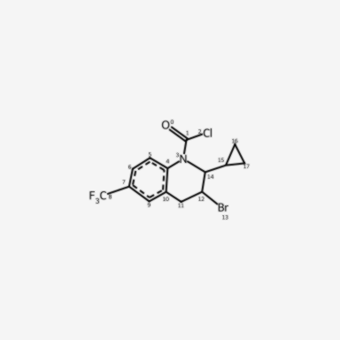 O=C(Cl)N1c2ccc(C(F)(F)F)cc2CC(Br)C1C1CC1